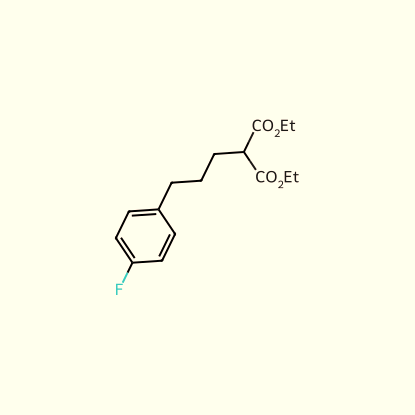 CCOC(=O)C(CCCc1ccc(F)cc1)C(=O)OCC